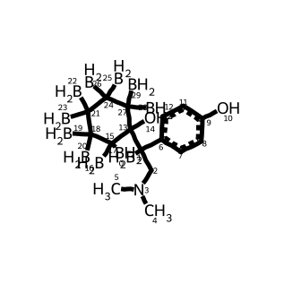 BC(CN(C)C)(c1ccc(O)cc1)C1(O)C(B)(B)C(B)(B)C(B)(B)C(B)(B)C1(B)B